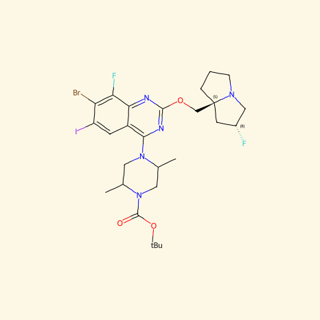 CC1CN(c2nc(OC[C@@]34CCCN3C[C@H](F)C4)nc3c(F)c(Br)c(I)cc23)C(C)CN1C(=O)OC(C)(C)C